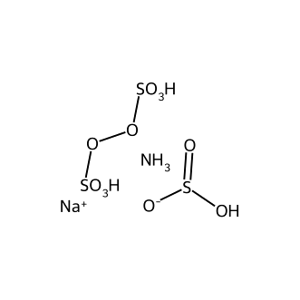 N.O=S(=O)(O)OOS(=O)(=O)O.O=S([O-])O.[Na+]